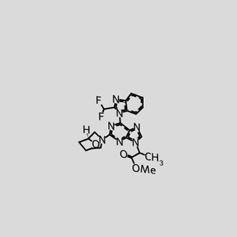 COC(=O)C(C)n1cnc2c(-n3c(C(F)F)nc4ccccc43)nc(N3CC4CC[C@@H](C3)O4)nc21